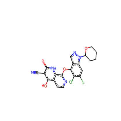 N#Cc1c(O)c2ccnc(Oc3c(Cl)c(F)cc4c3cnn4C3CCCCO3)c2[nH]c1=O